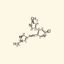 Cn1cc(C#Cc2cnc(Cl)cc2-c2cnn(C)c2)cn1